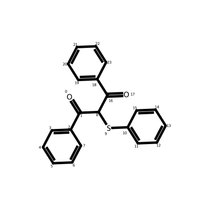 O=C(c1ccccc1)C(Sc1ccccc1)C(=O)c1ccccc1